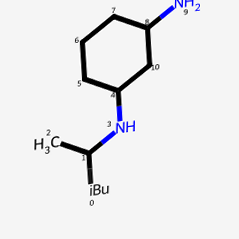 CCC(C)C(C)NC1CCCC(N)C1